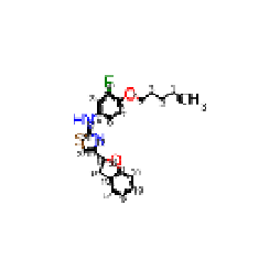 CCCCCOc1ccc(Nc2nc(C3Cc4ccccc4O3)cs2)cc1F